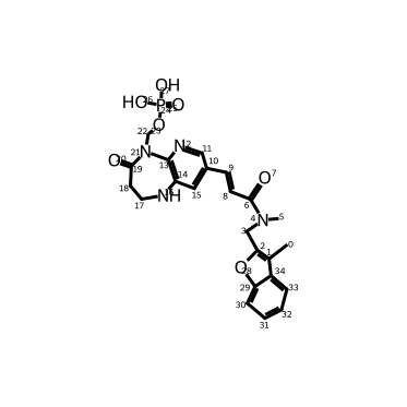 Cc1c(CN(C)C(=O)C=Cc2cnc3c(c2)NCCC(=O)N3COP(=O)(O)O)oc2ccccc12